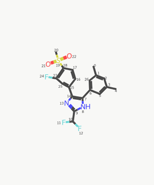 Cc1cc(C)cc(-c2[nH]c(C(F)F)nc2-c2ccc(S(C)(=O)=O)c(F)c2)c1